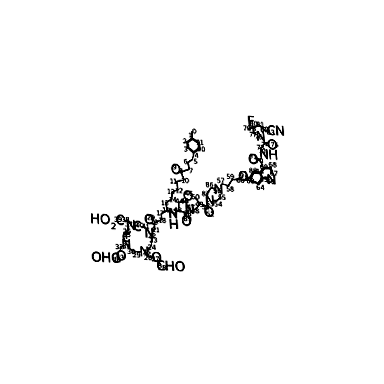 Cc1ccc(CCCC(=O)CCCCCCC(CCC(=O)CN2CCN(COC=O)CCN(COC=O)CCN(CC(=O)O)CC2)NC2CC(=O)N(CC(C)C(=O)N3CCN(CCCCOc4ccc5nccc(C(=O)NCC(=O)N6CC(C)(F)C[C@@H]6C#N)c5c4)CC3)C2=O)cc1